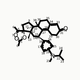 CC(=O)O[C@]1(C(C)=O)CC[C@]2(C)[C@]1(C)C[C@H](c1ccc(N(C)C(C)C)cc1)C1=C3CCC(=O)C=C3CC[C@]12C